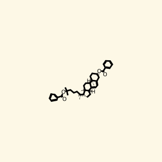 C[C@H](CCCC(C)(C)OC(=O)c1ccccc1)[C@H]1CC[C@H]2C3=CC=C4C[C@@H](OC(=O)c5ccccc5)CC[C@]4(C)[C@H]3CC[C@]12C